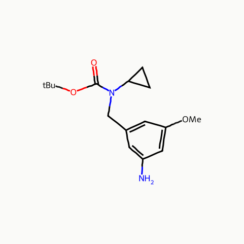 COc1cc(N)cc(CN(C(=O)OC(C)(C)C)C2CC2)c1